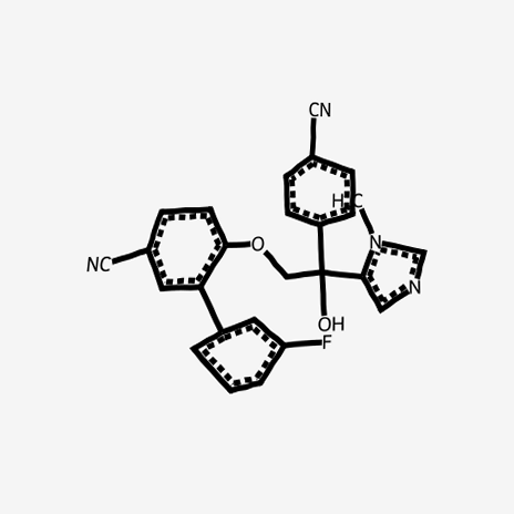 Cn1cncc1C(O)(COc1ccc(C#N)cc1-c1cccc(F)c1)c1ccc(C#N)cc1